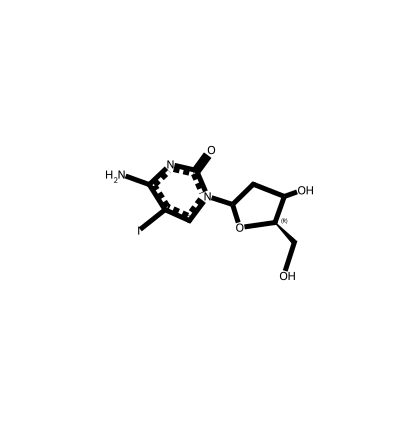 Nc1nc(=O)n(C2CC(O)[C@@H](CO)O2)cc1I